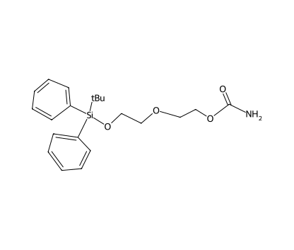 CC(C)(C)[Si](OCCOCCOC(N)=O)(c1ccccc1)c1ccccc1